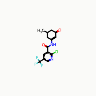 CC1CC(=O)C=C(NC(=O)c2cc(C(F)(F)F)cnc2Cl)C1